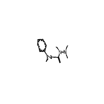 C=C(N(C)c1ccccc1)N(C)N(C)C